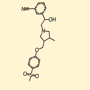 CC1CN(CC(O)c2cccc(C#N)c2)CC1COc1ccc(S(C)(=O)=O)cc1